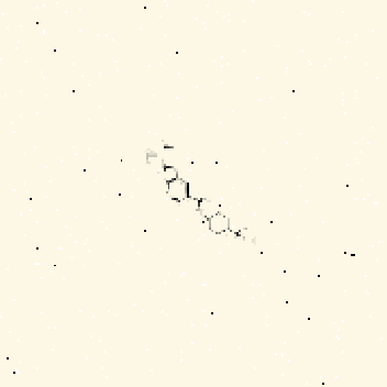 CC(C)N(c1nc2ncc(C(=O)NC3CCC(C(C)(C)O)CC3)cc2s1)C(C)C